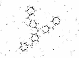 c1ccc(Oc2cc[c]([Bi]([c]3ccc(Oc4ccccc4)cc3)[c]3ccc(Oc4ccccc4)cc3)cc2)cc1